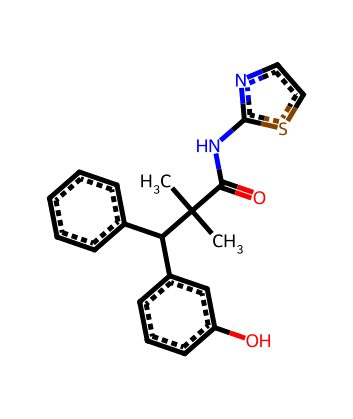 CC(C)(C(=O)Nc1nccs1)C(c1ccccc1)c1cccc(O)c1